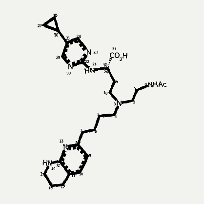 CC(=O)NCCN(CCCCc1ccc2c(n1)NCCC2)CC[C@H](Nc1ncc(C2CC2)cn1)C(=O)O